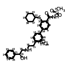 CS(=O)(=O)NC(=O)c1ccc(-c2ccc(CCNC[C@@H](O)c3cccnc3)cc2)cc1SC1CCCCC1.Cl.Cl